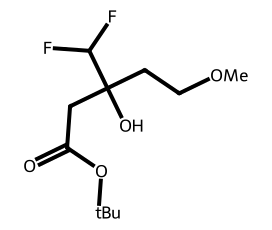 COCCC(O)(CC(=O)OC(C)(C)C)C(F)F